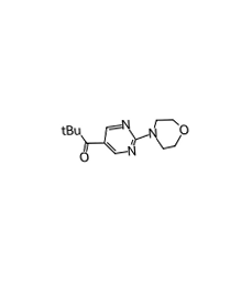 CC(C)(C)C(=O)c1cnc(N2CCOCC2)nc1